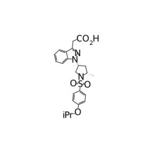 CC(C)Oc1ccc(S(=O)(=O)N2C[C@H](n3nc(CC(=O)O)c4ccccc43)C[C@@H]2C)cc1